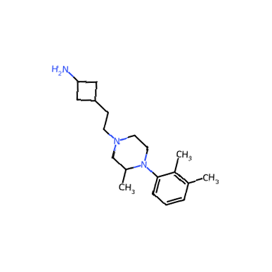 Cc1cccc(N2CCN(CCC3CC(N)C3)CC2C)c1C